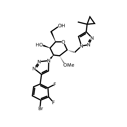 CO[C@@H]1[C@@H](n2cc(-c3ccc(Br)c(F)c3F)nn2)[C@@H](O)[C@@H](CO)O[C@@H]1Cn1cc(C2(C)CC2)nn1